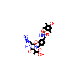 COc1cc(C)c(S(=O)(=O)NCc2ccc(CN3C(=O)C(CN=[N+]=[N-])NC(=O)C3C(C)C(=O)O)cc2)c(C)c1C